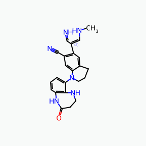 CN/C=C(\C=N)c1cc2c(cc1C#N)N(c1cccc3c1NCCC(=O)N3)CCC2